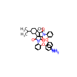 CC(C)C1CCC(C)(C2=CC(=O)N(c3ccccc3Oc3ccc(N)cc3)C2=O)C(C2=CC(=O)N(c3ccccc3Oc3ccc(N)cc3)C2=O)C1